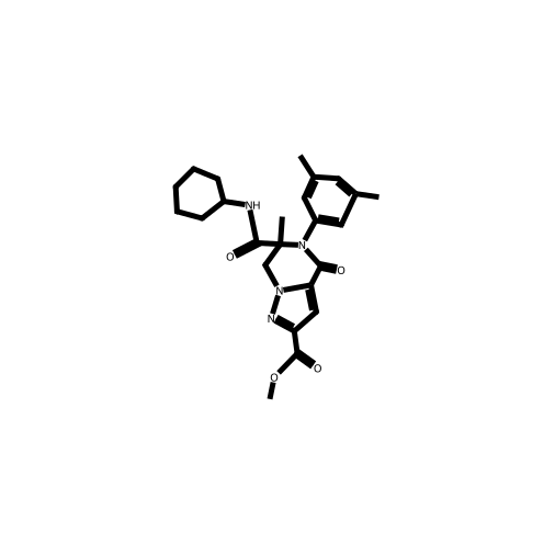 COC(=O)c1cc2n(n1)CC(C)(C(=O)NC1CCCCC1)N(c1cc(C)cc(C)c1)C2=O